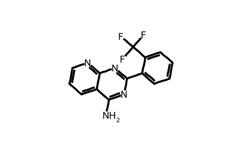 Nc1nc(-c2ccccc2C(F)(F)F)nc2ncccc12